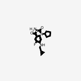 Nn1c(=O)c2cc(F)c(NCC3CC3)cc2n(C2CCCC2)c1=O